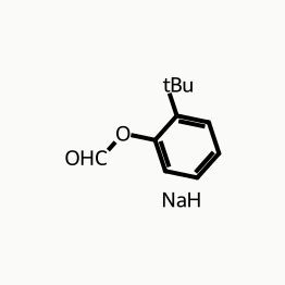 CC(C)(C)c1ccccc1OC=O.[NaH]